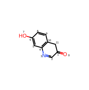 O=C1C=Nc2cc(O)ccc2C1